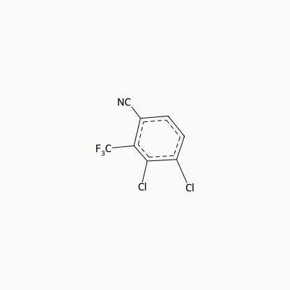 N#Cc1ccc(Cl)c(Cl)c1C(F)(F)F